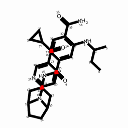 CCC(C)Nc1cc(C(=O)NC2CC3CCC(C2)N3c2ccc(C(=O)C3CC3)cn2)ccc1C(N)=O